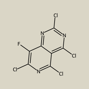 Fc1c(Cl)nc(Cl)c2c(Cl)nc(Cl)nc12